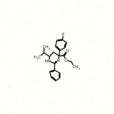 CCOC(=O)C1(c2ccc(F)cc2)CC(C(C)C)NC(c2ccccc2)=N1